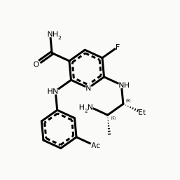 CC[C@@H](Nc1nc(Nc2cccc(C(C)=O)c2)c(C(N)=O)cc1F)[C@H](C)N